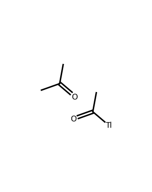 CC(C)=O.C[C](=O)[Tl]